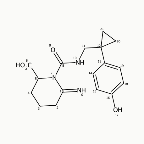 N=C1CCCC(C(=O)O)N1C(=O)NCC1(c2ccc(O)cc2)CC1